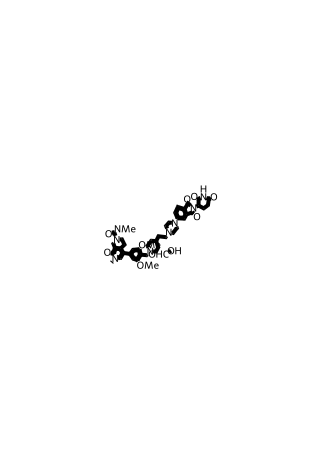 CNC(=O)N1CCc2c(-c3cc(OC)c(CN4CCC(CCN5CCN(c6ccc7c(c6)C(=O)N(C6CCC(=O)NC6=O)C7=O)CC5)CC4)c(OC)c3)cn(C)c(=O)c2C1.O=CO